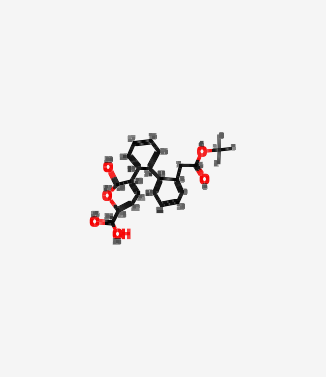 CC(C)(C)OC(=O)Cc1ccccc1-c1ccccc1-c1ccc(C(=O)O)oc1=O